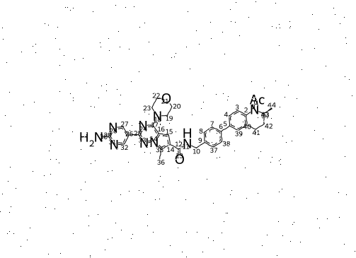 CC(=O)N1c2ccc(-c3ccc(CNC(=O)c4cc5c(N6CCOCC6)nc(-c6cnc(N)nc6)nn5c4C)cc3)cc2CC[C@@H]1C